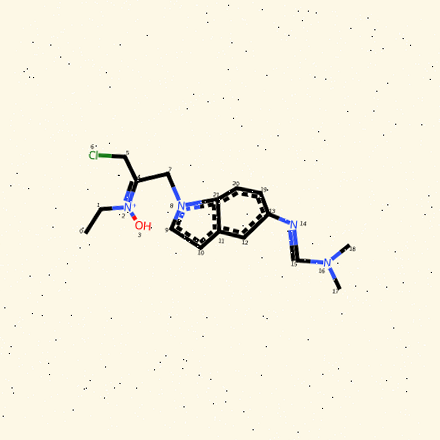 CC[N+](O)=C(CCl)Cn1ccc2cc(N=CN(C)C)ccc21